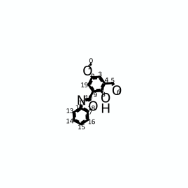 COc1cc(C=O)c(O)c(-c2nc3ccccc3o2)c1